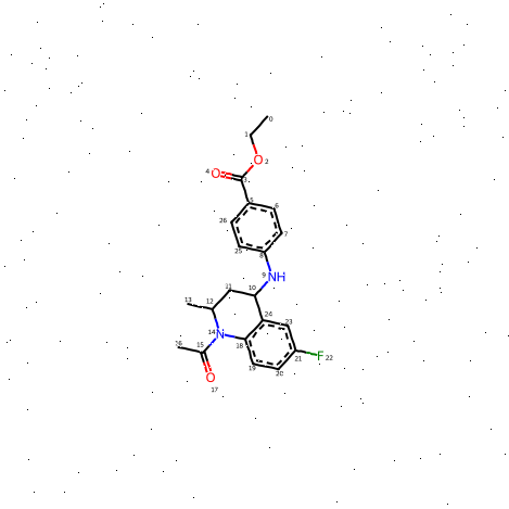 CCOC(=O)c1ccc(NC2CC(C)N(C(C)=O)c3ccc(F)cc32)cc1